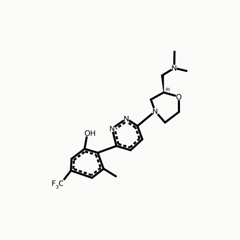 Cc1cc(C(F)(F)F)cc(O)c1-c1ccc(N2CCO[C@H](CN(C)C)C2)nn1